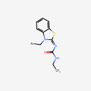 CC(=O)Cn1c(=NC(=O)NCC(F)(F)F)sc2ccccc21